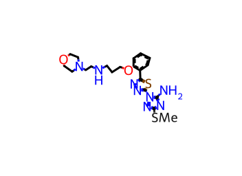 CSc1nc(N)n(-c2nnc(-c3ccccc3OCCCNCCN3CCOCC3)s2)n1